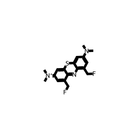 CN(C)c1cc(CF)c2nc3c(CF)cc(=[N+](C)C)cc-3sc2c1